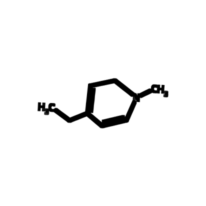 CCC1=CCN(C)C=C1